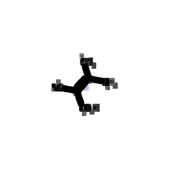 N#C/C(C(=O)O)=C(/N)C(Cl)(Cl)Cl